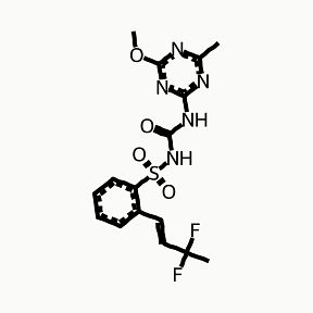 COc1nc(C)nc(NC(=O)NS(=O)(=O)c2ccccc2/C=C/C(C)(F)F)n1